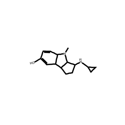 CN1C2C=CC(O)=CC2C2CCC(NC3CC3)C21